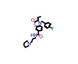 C/C=C1/C(=O)Sc2cc(C(=O)NCCCN3CCCCC3)ccc2N1Cc1ccc(F)cc1